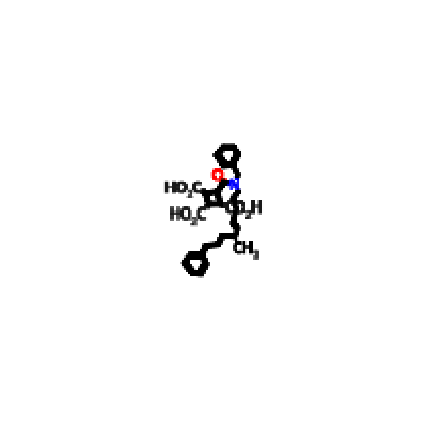 C[C@@H](/C=C/CCCN(Cc1ccccc1)C(=O)C1C(C(=O)O)C(C(=O)O)C1C(=O)O)CCCc1ccccc1